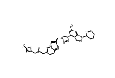 FC12CC(CNCc3ccc4nc(Cn5cc(-c6cc(Br)cc7c6cnn7C6CCCCO6)nn5)cn4c3)(C1)C2